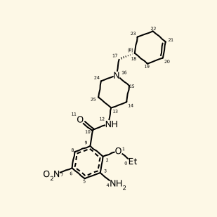 CCOc1c(N)cc([N+](=O)[O-])cc1C(=O)NC1CCN(C[C@H]2CC=CCC2)CC1